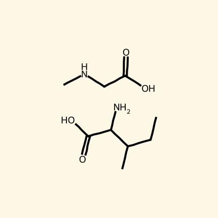 CCC(C)C(N)C(=O)O.CNCC(=O)O